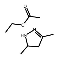 CC1=NNC(C)C1.CCOC(C)=O